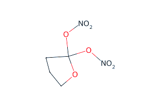 O=[N+]([O-])OC1(O[N+](=O)[O-])CCCO1